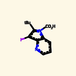 CC(C)(C)c1c(I)c2ncccc2n1C(=O)O